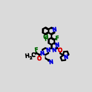 C=C(F)C(=O)N1CCN(c2nc(OCC34CCCN3CCC4)nc3c(F)c(-c4cncc5cccc(Cl)c45)c(F)cc23)C[C@@H]1CC#N